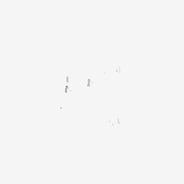 OB(O)O.Oc1ccc2c(c1)SCN2